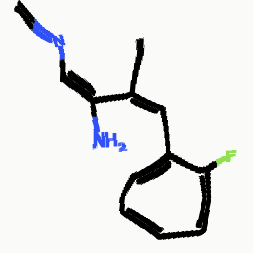 C=N/C=C(N)\C(C)=C/c1ccccc1F